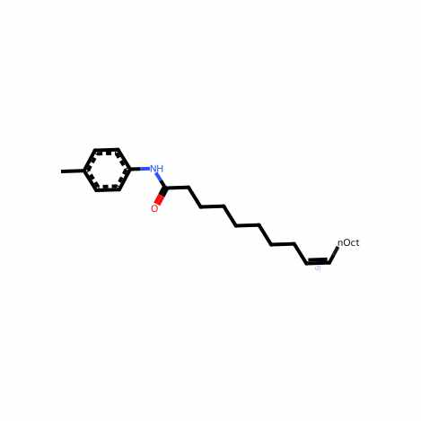 CCCCCCCC/C=C\CCCCCCCC(=O)Nc1ccc(C)cc1